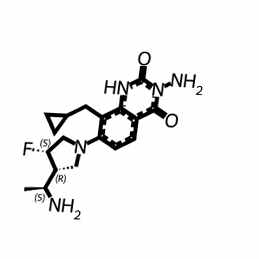 C[C@H](N)[C@H]1CN(c2ccc3c(=O)n(N)c(=O)[nH]c3c2CC2CC2)C[C@H]1F